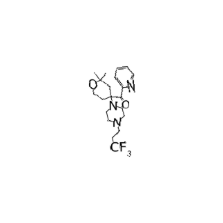 CC1(C)CC(C(=O)c2ccccn2)(N2CCN(CCC(F)(F)F)CC2)CCO1